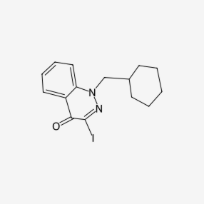 O=c1c(I)nn(CC2CCCCC2)c2ccccc12